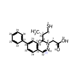 C[C@H](CS)C(=O)N(CC(=O)O)/N=C\c1ccc(-c2ccccc2)cc1